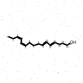 CC/C=C\C=C/CCC/C=C/C=C/CCCO